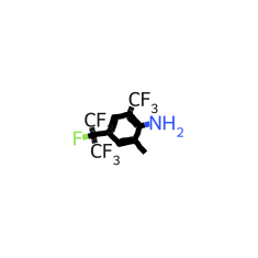 Cc1cc(C(F)(C(F)(F)F)C(F)(F)F)cc(C(F)(F)F)c1N